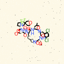 COCC[C@H](NC(=O)[C@@H]1CCCN1C(=O)C1(C(F)(F)F)CCOCC1)C(=O)N(C)[C@H]1CCCCN(C)C(=O)[C@@H](COC)NC(=O)[C@H](Cc2cc(Cl)ccc2Cl)N(C)C(=O)[C@H](CC(C)C)NC1=O